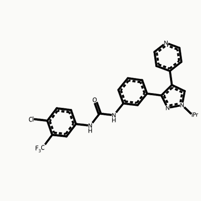 CC(C)n1cc(-c2ccncc2)c(-c2cccc(NC(=O)Nc3ccc(Cl)c(C(F)(F)F)c3)c2)n1